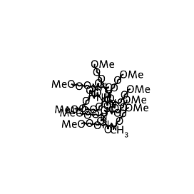 COCCOCCOCCN(C)CC(=O)N(CCOCCOCCOC)CC(=O)N(CCOCCOCCOC)CC(=O)N(CCOCCOCCOC)CC(=O)N(CCOCCOCCOC)CC(=O)N(CCOCCOCCOC)CC(=O)N(CCOCCOCCOC)CC(=O)N(CCOCCOCCOC)CC(=O)N(CCOCCOCCOC)CC(=O)N(CCOCCOCCOC)CC(N)=O